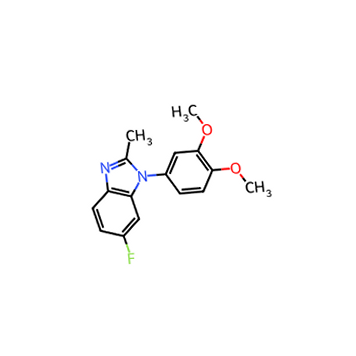 COc1ccc(-n2c(C)nc3ccc(F)cc32)cc1OC